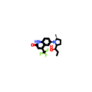 CC[C@@H](O)C1CC[C@@H](C)N1c1ccc2[nH]c(=O)cc(C(F)(F)F)c2c1